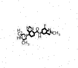 C[C@@H]1CN(c2ccc(C(=O)Nc3cc(F)c4nn(C)cc4c3)c3ncncc23)C[C@H](C)N1